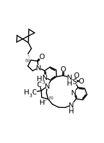 CC1(C)C[C@@H]2CCCNc3cccc(n3)S(=O)(=O)NC(=O)c3ccc(N4CC[C@H](CCC5C6(CC6)C56CC6)C4=O)nc3N1C2